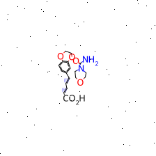 NC(=O)N1CCOCC1.O=C(O)/C=C/C=C/c1ccc2c(c1)OCCO2